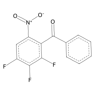 O=C(c1ccccc1)c1c([N+](=O)[O-])cc(F)c(F)c1F